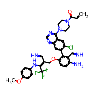 C=CC(=O)N1CCN(c2ncnc3cc(-c4c(OC/C(C=N)=C(/Nc5ccc(OC)cc5)C(F)(F)F)ccc(N)c4C=N)c(Cl)cc23)CC1